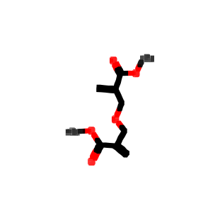 C=C(COCC(=C)C(=O)OCCCC)C(=O)OCCCC